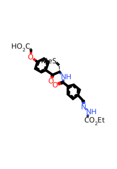 CCOC(=O)NN=Cc1ccc(C(=O)N[C@@H](CSC)C(=O)c2ccc(OCC(=O)O)cc2)cc1